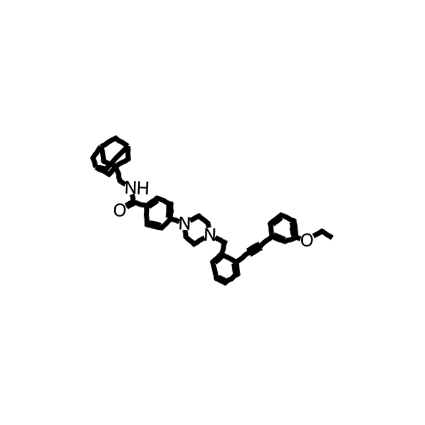 CCOc1cccc(C#Cc2ccccc2CN2CCN(c3ccc(C(=O)NCC45CC6CC(CC(C6)C4)C5)cc3)CC2)c1